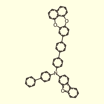 c1ccc(-c2ccc(N(c3ccc(-c4ccc(-c5ccc6c(c5)Oc5cccc7cccc(c57)O6)cc4)cc3)c3ccc4c(c3)oc3ccccc34)cc2)cc1